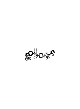 O=C(Nc1ccc2c(c1)S(=O)(=O)C=C2)N1CCN(c2nc(-c3cccs3)ns2)CC1